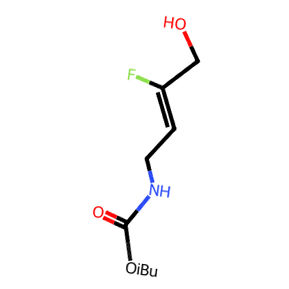 CC(C)COC(=O)NCC=C(F)CO